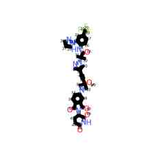 COC1(C#Cc2cnn(C(C)(C)C(=O)Nc3ccc(C(F)(F)F)cc3-n3cccn3)c2)CN(c2ccc3c(c2)C(=O)N(C2CCC(=O)NC2=O)C3=O)C1